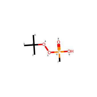 CC(C)(C)OOP(C)(=O)O